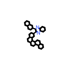 c1ccc2cc(-c3nc4ccccc4nc3-c3ccc4ccc5ccc6c7ccccc7ccc6c5c4c3)ccc2c1